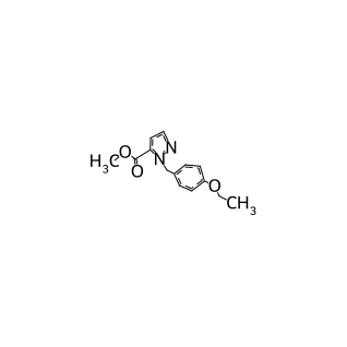 CCOc1ccc(Cn2nccc2C(=O)OC)cc1